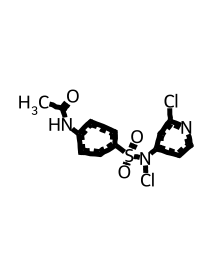 CC(=O)Nc1ccc(S(=O)(=O)N(Cl)c2ccnc(Cl)c2)cc1